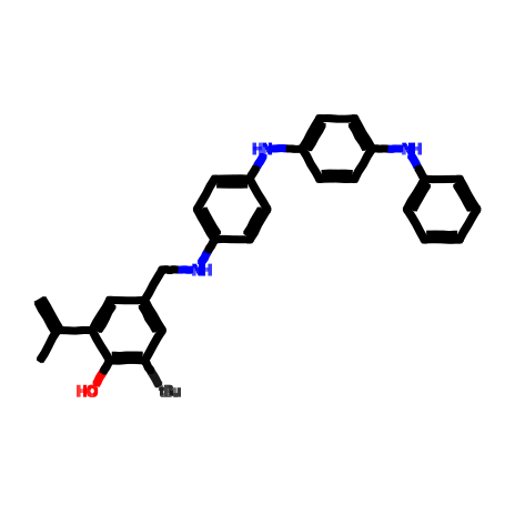 C=C(C)c1cc(CNc2ccc(Nc3ccc(Nc4ccccc4)cc3)cc2)cc(C(C)(C)C)c1O